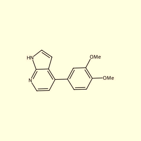 COc1ccc(-c2ccnc3[nH]ccc23)cc1OC